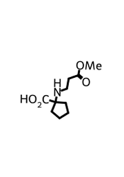 COC(=O)CCNC1(C(=O)O)CCCC1